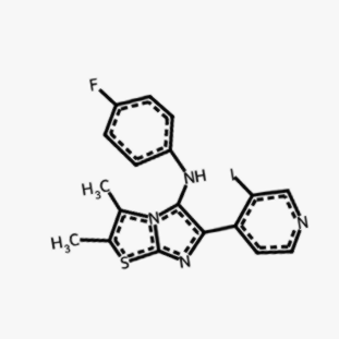 Cc1sc2nc(-c3ccncc3I)c(Nc3ccc(F)cc3)n2c1C